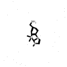 CN1C=CN2c3ccc(CN)c[c]3[Lr]([CH3])([CH3])[CH]12